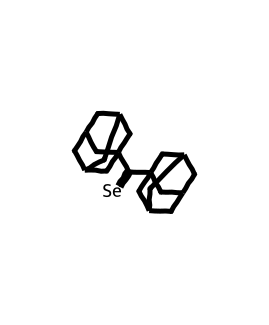 [Se]=C(C12CC3CC(CC(C3)C1)C2)C12CC3CC(CC(C3)C1)C2